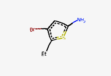 CCc1sc(N)cc1Br